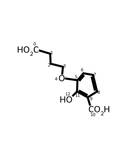 O=C(O)CCCOc1cccc(C(=O)O)c1O